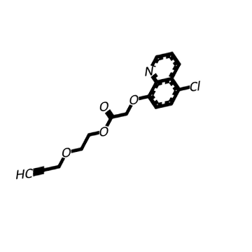 C#CCOCCOC(=O)COc1ccc(Cl)c2cccnc12